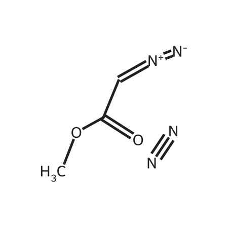 COC(=O)C=[N+]=[N-].N#N